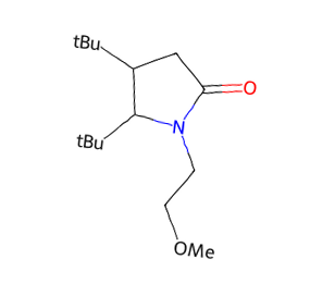 COCCN1C(=O)CC(C(C)(C)C)C1C(C)(C)C